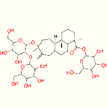 C=C1CC2CCC3[C@](C)(C(=O)OC4OC(CO)C(O)C(O)C4O)CCC[C@@]3(C)[C@@H]2CCC1(C)OC1OC(CO)C(O)C(O)C1OC1OC(CO)C(O)C(O)C1O